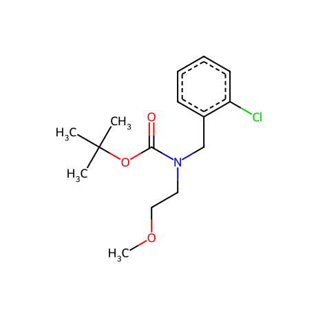 COCCN(Cc1ccccc1Cl)C(=O)OC(C)(C)C